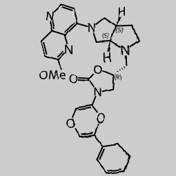 COc1ccc2nccc(N3C[C@@H]4CCN(C[C@@H]5CN(C6=COC=C(C7=CC=CCC7)O6)C(=O)O5)[C@@H]4C3)c2n1